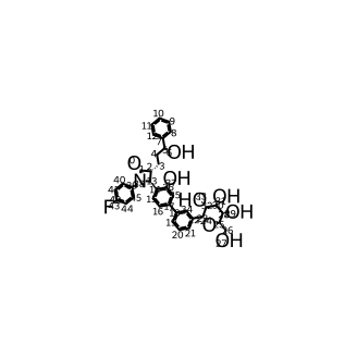 O=C1[C@H](CC[C@H](O)c2ccccc2)[C@@H](c2ccc(-c3cccc(C4O[C@H](CO)[C@@H](O)[C@H](O)[C@H]4O)c3)cc2O)N1c1ccc(F)cc1